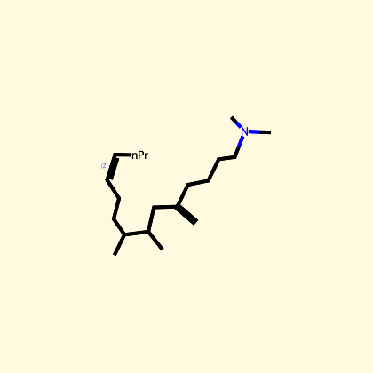 C=C(CCCCN(C)C)CC(C)C(C)CC/C=C\CCC